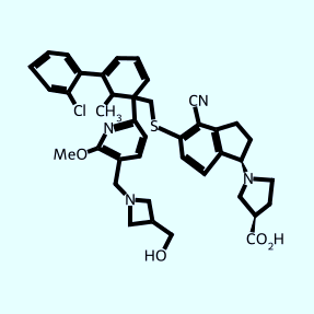 COc1nc(C2(CSc3ccc4c(c3C#N)CC[C@H]4N3CC[C@@H](C(=O)O)C3)C=CC=C(c3ccccc3Cl)C2C)ccc1CN1CC(CO)C1